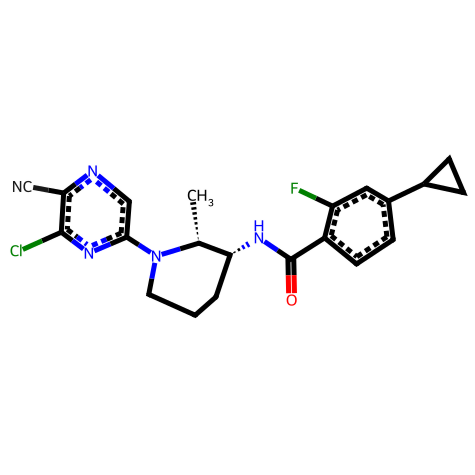 C[C@@H]1[C@H](NC(=O)c2ccc(C3CC3)cc2F)CCCN1c1cnc(C#N)c(Cl)n1